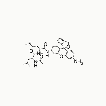 CSCC[C@H](NC(=O)[C@H](CC(C)C)NC(C)=O)C(=O)Nc1ccc2c(c1)Oc1cc(N)ccc1C21OCc2ccccc21